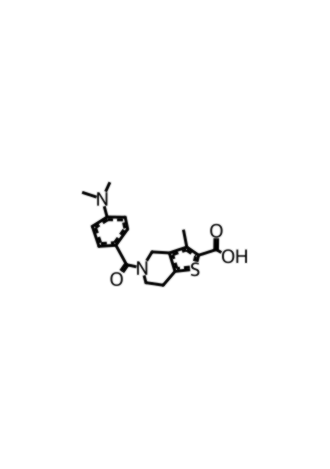 Cc1c(C(=O)O)sc2c1CN(C(=O)c1ccc(N(C)C)cc1)CC2